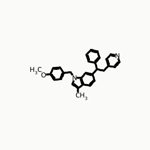 COc1ccc(Cn2cc(C)c3ccc(C(Cc4ccncc4)c4ccccc4)cc32)cc1